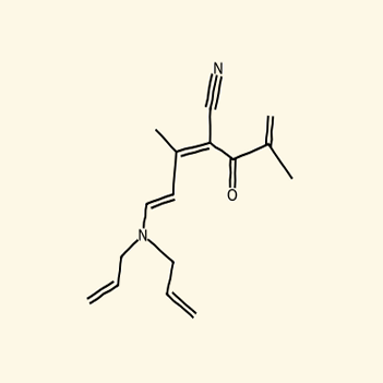 C=CCN(/C=C/C(C)=C(/C#N)C(=O)C(=C)C)CC=C